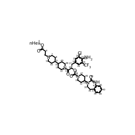 CCCCCCOC(=O)CCN1CCC(C2CCN(C(=O)[C@@H](Cc3cc(Cl)c(N)c(C(F)(F)F)c3)OC(=O)N3CCC(N4CCc5ccccc5NC4=O)CC3)CC2)CC1